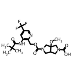 COC12CN(C(=O)O)CC1CN(C(=O)OCc1ncc(C(F)(F)F)cc1NC(=O)C(C)(C)C)C2